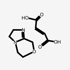 C1CN2CCOCC2=N1.O=C(O)C=CC(=O)O